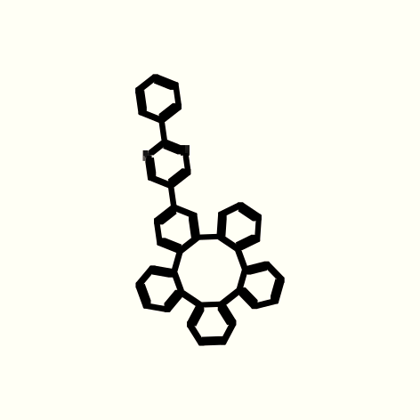 c1ccc(-c2ncc(-c3ccc4c5ccccc5c5ccccc5c5ccccc5c5ccccc5c4c3)cn2)cc1